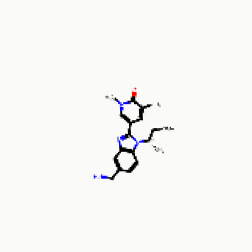 COC[C@H](C)n1c(-c2cc(C)c(=O)n(C)c2)nc2cc(CN)ccc21